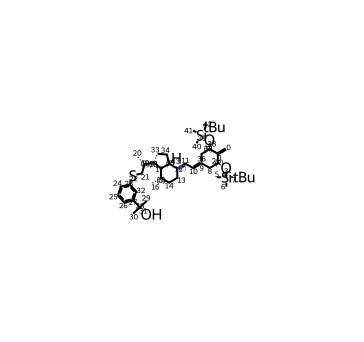 C=C1[C@H](O[Si](C)(C)C(C)(C)C)CC(=C/C=C2\CC[C@H](C)C3[C@H]([C@@H](C)CSc4cccc(C(C)(C)O)c4)CC[C@@H]23)C[C@H]1O[Si](C)(C)C(C)(C)C